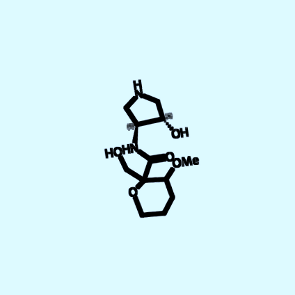 COC1CCCOC1(CO)C(=O)N[C@H]1CNC[C@@H]1O